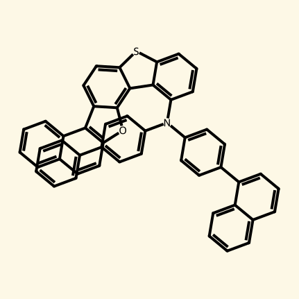 c1ccc(-c2ccc(N(c3ccc(-c4cccc5ccccc45)cc3)c3cccc4sc5ccc6c(oc7ccc8ccccc8c76)c5c34)cc2)cc1